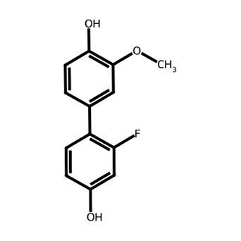 COc1cc(-c2ccc(O)cc2F)ccc1O